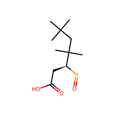 CC(C)(C)CC(C)(C)[C@H](CC(=O)O)P=O